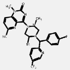 CCC1CN(c2nc(=O)n(C)c3ccc(C#N)nc23)[C@@H](C)CN1C(c1ccc(F)cc1)c1ccc(C(F)(F)F)cn1